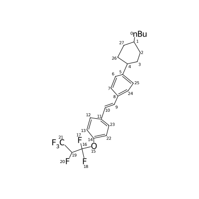 CCCCC1CCC(c2ccc(C=Cc3ccc(OC(F)(F)C(F)C(F)(F)F)cc3)cc2)CC1